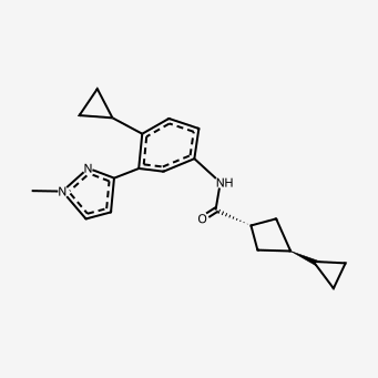 Cn1ccc(-c2cc(NC(=O)[C@H]3C[C@H](C4CC4)C3)ccc2C2CC2)n1